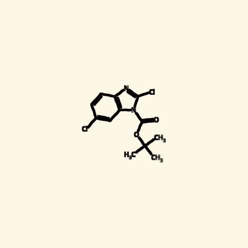 CC(C)(C)OC(=O)n1c(Cl)nc2ccc(Cl)cc21